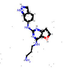 NCCCNc1nc(Nc2ccc3cn[nH]c3c2)nc2ccoc12